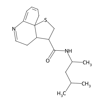 CC(C)CC(C)NC(=O)C1CSC23CC=CC=C2N=CCC13